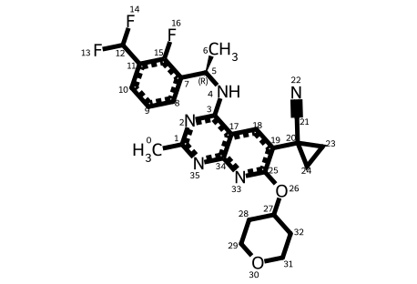 Cc1nc(N[C@H](C)c2cccc(C(F)F)c2F)c2cc(C3(C#N)CC3)c(OC3CCOCC3)nc2n1